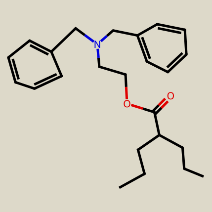 CCCC(CCC)C(=O)OCCN(Cc1ccccc1)Cc1ccccc1